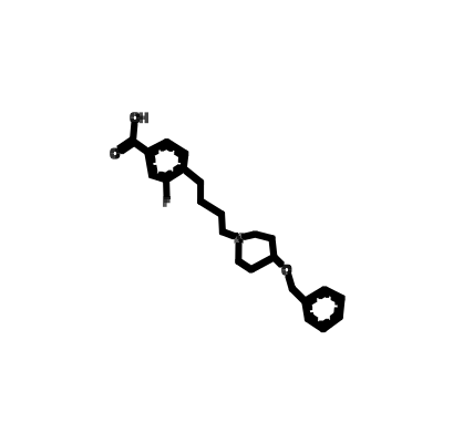 O=C(O)c1ccc(CCCCN2CCC(OCc3ccccc3)CC2)c(F)c1